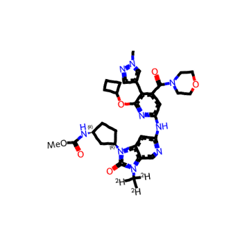 [2H]C([2H])([2H])n1c(=O)n([C@@H]2CC[C@@H](NC(=O)OC)C2)c2cc(Nc3cc(C(=O)N4CCOCC4)c(-c4cnn(C)c4)c(OC4CCC4)n3)ncc21